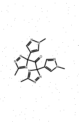 CC1=NC(C(=O)C2(c3cnn(C)c3)N=NC(C)=N2)(c2cnn(C)c2)N=N1